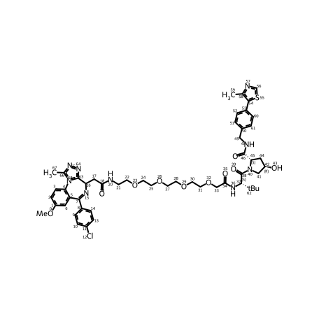 COc1ccc2c(c1)C(c1ccc(Cl)cc1)=NC(CC(=O)NCCOCCOCCOCCOCC(=O)N[C@H](C(=O)N1C[C@H](O)C[C@H]1C(=O)NCc1ccc(-c3scnc3C)cc1)C(C)(C)C)c1nnc(C)n1-2